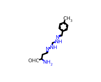 Cc1ccc(/C=N/NCN/N=C/CC(N)C=O)cc1